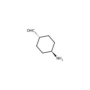 N[C@H]1CC[C@H](C=O)CC1